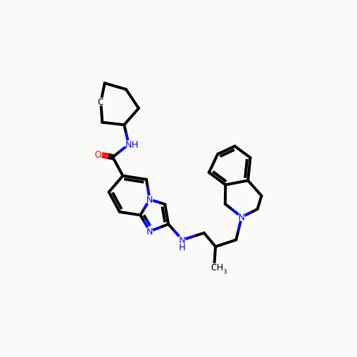 CC(CNc1cn2cc(C(=O)NC3CCCCC3)ccc2n1)CN1CCc2ccccc2C1